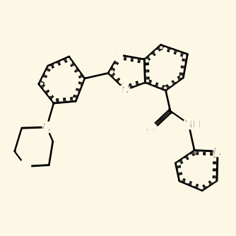 O=C(Nc1ccccn1)c1cccc2sc(-c3cccc(N4CCOCC4)c3)nc12